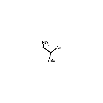 CCCC[C@@H](C[N+](=O)[O-])C(C)=O